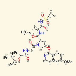 C=C[C@@H]1C[C@]1(NC(=O)[C@@H]1C[C@@H](Oc2nccc3cc(OC)ccc23)CN1C(=O)CNC(=O)CO[C@@H](CCC)[C@H](CCC)C(C)C)C(=O)NS(=O)(=O)C1CC1